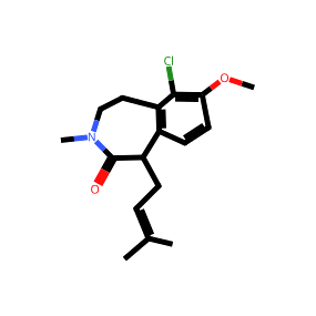 COc1ccc2c(c1Cl)CCN(C)C(=O)C2CC=C(C)C